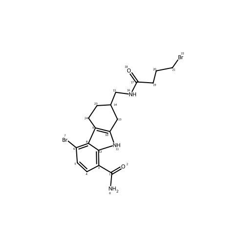 NC(=O)c1ccc(Br)c2c3c([nH]c12)CC(CNC(=O)CCCBr)CC3